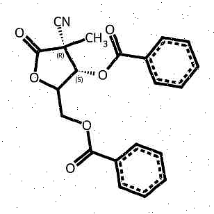 C[C@]1(C#N)C(=O)OC(COC(=O)c2ccccc2)[C@H]1OC(=O)c1ccccc1